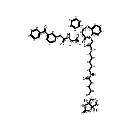 C[C@H](NC(=O)Cc1cccc(C(=O)c2ccccc2)c1)C(=O)N[C@H]1C(=O)N(CC(=O)NCCCCCNC(=O)CCCC[C@@H]2SC[C@@H]3NC(=O)N[C@@H]32)c2ccccc2O[C@H]1c1ccccc1